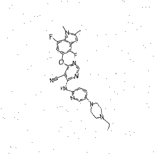 CCN1CCN(c2ccc(Nc3ncnc(Oc4cc(F)c5c(cc(C)n5C)c4F)c3C#N)nc2)CC1